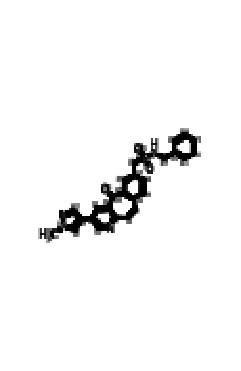 Cn1cc(-c2cnc3ccc4ccc(CS(=O)(=O)NCc5ccccc5)cc4c(=O)c3c2)cn1